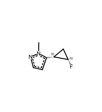 Cn1nccc1[C@@H]1C[C@@H]1F